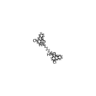 O=C(NCCC[CH]CCCNC(=O)c1ccc(Cl)c2cc3ccccc3nc12)c1ccc(Cl)c2cc3ccccc3nc12